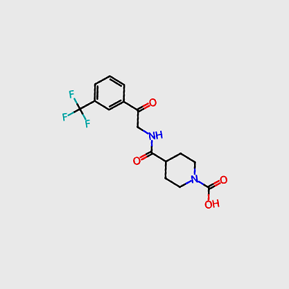 O=C(CNC(=O)C1CCN(C(=O)O)CC1)c1cccc(C(F)(F)F)c1